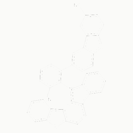 N#Cc1ccc2oc3ccc(-c4cccc(C#N)c4-n4c5ccccc5c5ccc6sc7ccccc7c6c54)cc3c2c1